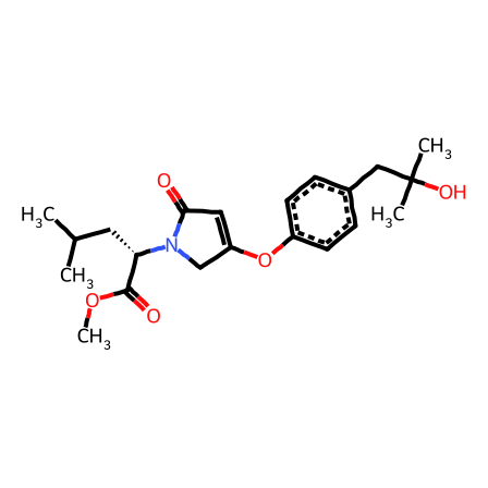 COC(=O)[C@H](CC(C)C)N1CC(Oc2ccc(CC(C)(C)O)cc2)=CC1=O